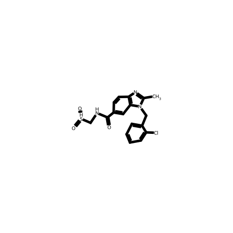 Cc1nc2ccc(C(=O)NC[SH](=O)=O)cc2n1Cc1ccccc1Cl